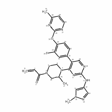 C=CC(=O)N1CCN(c2nc(Nc3cnn(C)c3)ncc2-c2ccc(Oc3nccc(C)n3)c(F)c2)C(C)C1